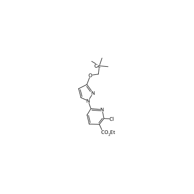 CCOC(=O)c1ccc(-n2ccc(O[CH2][Ge]([CH3])([CH3])[CH3])n2)nc1Cl